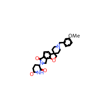 COc1cccc(CN2CCC3(CC2)COc2c3ccc3c2CN(C2CCC(=O)NC2=O)C3=O)c1